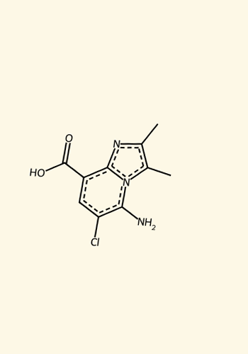 Cc1nc2c(C(=O)O)cc(Cl)c(N)n2c1C